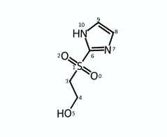 O=S(=O)(CCO)c1ncc[nH]1